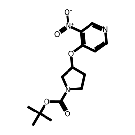 CC(C)(C)OC(=O)N1CCC(Oc2ccncc2[N+](=O)[O-])C1